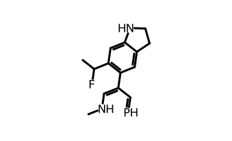 CN/C=C(\C=P)c1cc2c(cc1C(C)F)NCC2